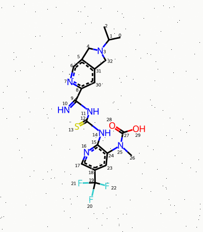 CC(C)N1Cc2cnc(C(=N)NC(=S)Nc3ncc(C(F)(F)F)cc3N(C)C(=O)O)cc2C1